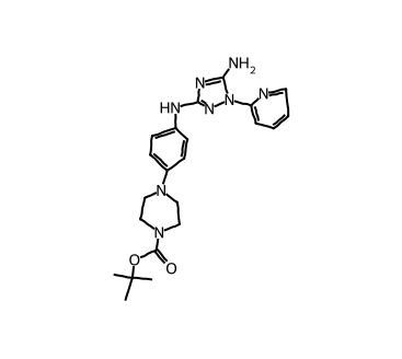 CC(C)(C)OC(=O)N1CCN(c2ccc(Nc3nc(N)n(-c4ccccn4)n3)cc2)CC1